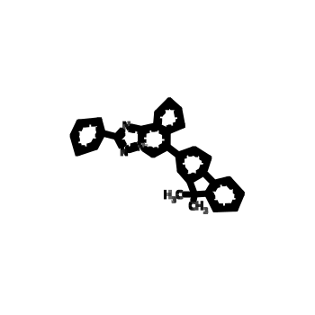 CC1(C)c2ccccc2-c2ccc(-c3cn4nc(-c5ccccc5)nc4c4ccccc34)cc21